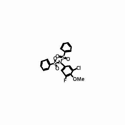 COc1c(F)cc(N(S(=O)(=O)c2ccccc2)S(=O)(=O)c2ccccc2)cc1Cl